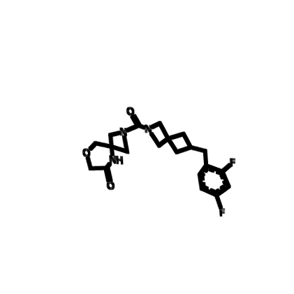 O=C1COCC2(CN(C(=O)N3CC4(CC(Cc5ccc(F)cc5F)C4)C3)C2)N1